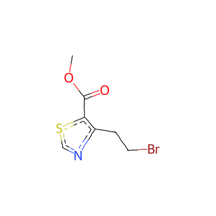 COC(=O)c1scnc1CCBr